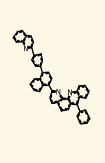 c1ccc(-c2c3ccccc3nc3c2ccc2ccc(-c4ccc(-c5ccc(-c6ccc7ccccc7n6)cc5)c5ccccc45)nc23)cc1